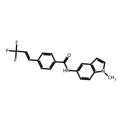 Cn1ccc2cc(NC(=O)c3ccc(/C=C/C(F)(F)F)cc3)ccc21